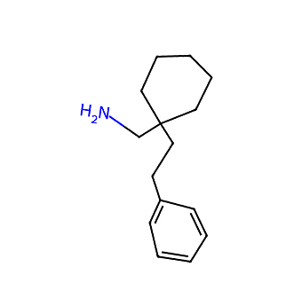 NCC1(CCc2ccccc2)CCCCC1